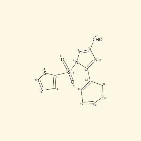 O=Cc1cn(S(=O)(=O)c2cccs2)c(-c2ccccc2)n1